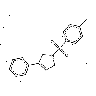 Cc1ccc(S(=O)(=O)N2CC=C(c3ccccc3)C2)cc1